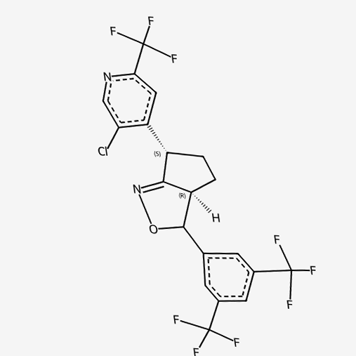 FC(F)(F)c1cc(C2ON=C3[C@H](c4cc(C(F)(F)F)ncc4Cl)CC[C@H]32)cc(C(F)(F)F)c1